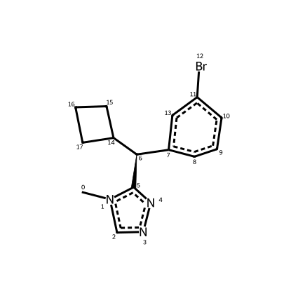 Cn1cnnc1[C@H](c1cccc(Br)c1)C1CCC1